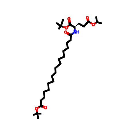 CC(C)OC(=O)CC[C@H](NC(=O)CCCCCCCCCCCCCCCCC(=O)OC(C)(C)C)C(=O)OC(C)(C)C